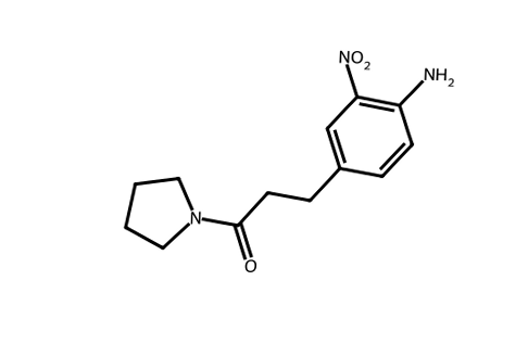 Nc1ccc(CCC(=O)N2CCCC2)cc1[N+](=O)[O-]